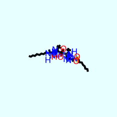 CCCCCCCCCNC(C)c1n[nH]c2c(C3=C(O)/C(=c4/c(C(C)(C)C)nn5c(C(C)NS(=O)(=O)CCCCCCCC)nnc45)C3=O)c(C(C)(C)C)nn12